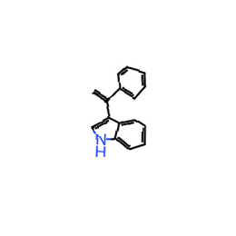 C=C(c1ccccc1)c1c[nH]c2ccccc12